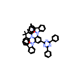 C=C/C=C\C1=C(C)C(C)(C)c2ccccc2N1c1c(-n2c3ccccc3c3ccccc32)cc(-c2nc(-c3ccccc3)nc(-c3ccccc3)n2)cc1-n1c2ccccc2c2ccccc21